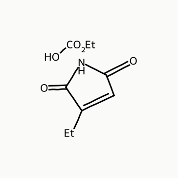 CCC1=CC(=O)NC1=O.CCOC(=O)O